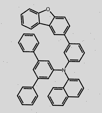 c1ccc(-c2cc(-c3ccccc3)cc(N(c3cccc(-c4ccc5oc6ccccc6c5c4)c3)c3cccc4ccccc34)c2)cc1